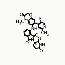 Cc1cc(-c2cc3c(cc2Nc2cccc4c2C(=O)N([C@H]2CCC(=O)NC2=O)C4=O)N(C)C(=O)CO3)c(F)cn1